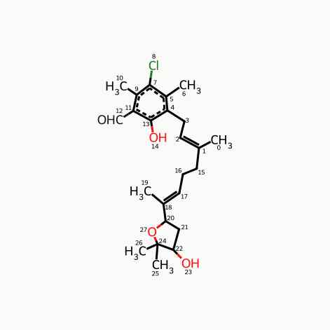 C/C(=C\Cc1c(C)c(Cl)c(C)c(C=O)c1O)CC/C=C(\C)C1CC(O)C(C)(C)O1